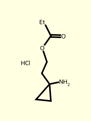 CCC(=O)OCCC1(N)CC1.Cl